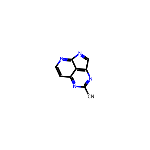 N#Cc1nc2c3c(nccc3n1)N=C2